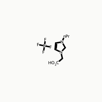 CCCN1C=CN(CC(=O)O)C1.F[B-](F)(F)F